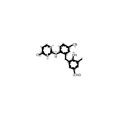 Cc1cc(C=O)cc(Cc2cc(C#N)ccc2Nc2nccc(Cl)n2)c1O